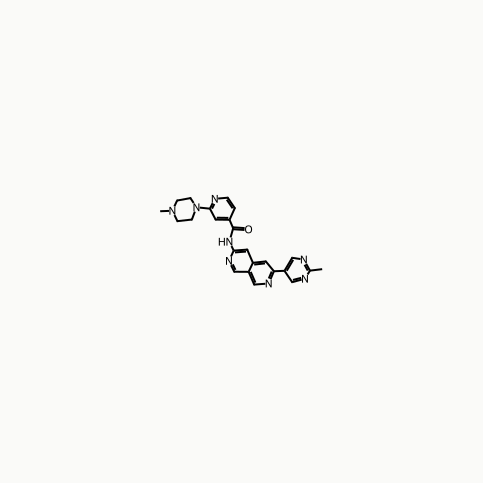 Cc1ncc(-c2cc3cc(NC(=O)c4ccnc(N5CCN(C)CC5)c4)ncc3cn2)cn1